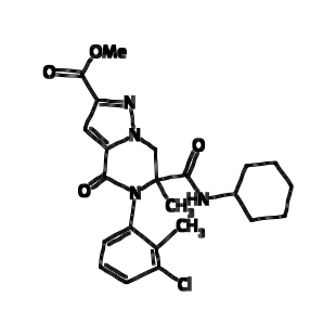 COC(=O)c1cc2n(n1)CC(C)(C(=O)NC1CCCCC1)N(c1cccc(Cl)c1C)C2=O